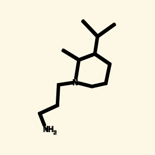 CC(C)C1CCCN(CCCN)C1C